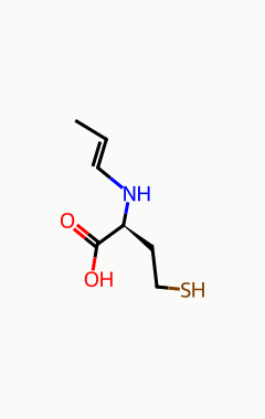 CC=CN[C@@H](CCS)C(=O)O